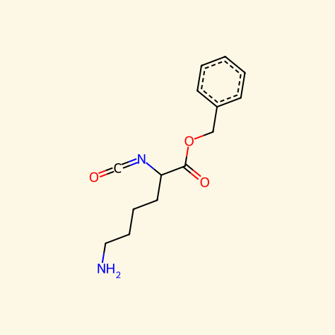 NCCCCC(N=C=O)C(=O)OCc1ccccc1